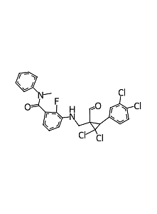 CN(C(=O)c1cccc(NCC2(C=O)C(c3ccc(Cl)c(Cl)c3)C2(Cl)Cl)c1F)c1ccccc1